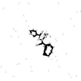 O=C(ON(OC(F)(F)F)C(=O)c1ccccc1)c1cccnc1